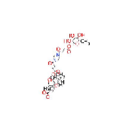 CC1O[C@H](COC(=O)CCC(=O)N2CCN(C(=O)CCC(=O)O[C@@H]3[C@@]4(C)C[C@H]4[C@@H]4O[C@@]45[C@@]4(C)CCC6=C(COC6=O)C4CO[C@]35C)CC2)[C@@H](O)[C@H](O)[C@H]1O